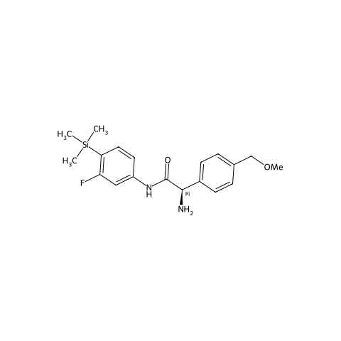 COCc1ccc([C@@H](N)C(=O)Nc2ccc([Si](C)(C)C)c(F)c2)cc1